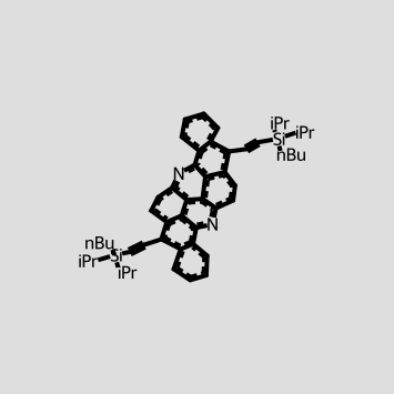 CCCC[Si](C#Cc1c2ccccc2c2nc3ccc4c(C#C[Si](CCCC)(C(C)C)C(C)C)c5ccccc5c5nc6ccc1c2c6c3c45)(C(C)C)C(C)C